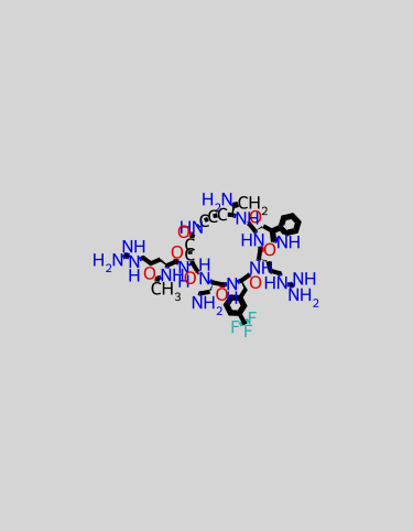 C=C(N)[C@@H]1CCCNC(=O)CC[C@H](NC(=O)[C@H](CCCNC(=N)N)NC(C)=O)C(=O)N[C@@H](CCN)C(=O)N[C@H](Cc2cccc(C(F)(F)F)c2)C(=O)N[C@@H](CCCNC(=N)N)C(=O)N[C@@H](Cc2c[nH]c3ccccc23)C(=O)N1